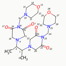 CC(C(C)N1CC(=O)N(CN2CCOCC2)C(=O)C1)N1CC(=O)N(CN2CCOCC2)C(=O)C1